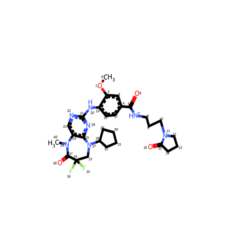 COc1cc(C(=O)NCCCN2CCCC2=O)ccc1Nc1ncc2c(n1)N(C1CCCC1)CC(F)(F)C(=O)N2C